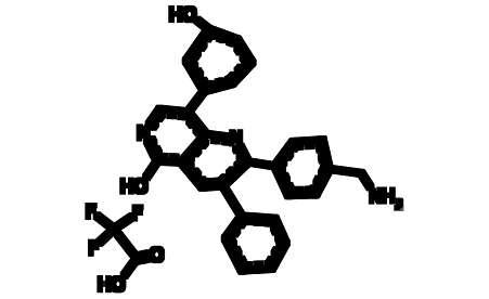 NCc1ccc(-c2nc3c(-c4cccc(O)c4)cnc(O)c3cc2-c2ccccc2)cc1.O=C(O)C(F)(F)F